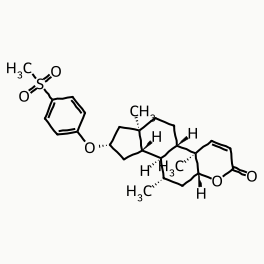 C[C@H]1C[C@H]2OC(=O)C=C[C@]2(C)[C@H]2CC[C@]3(C)C[C@@H](Oc4ccc(S(C)(=O)=O)cc4)C[C@H]3[C@H]12